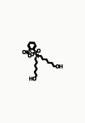 O=[N+]([O-])c1ccccc1S(=O)(=O)N(CCCCCCO)CCCCCCO